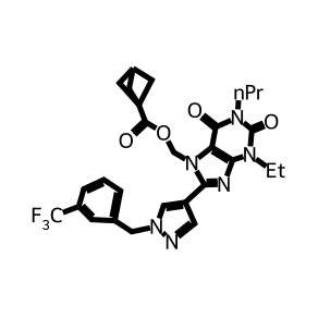 CCCn1c(=O)c2c(nc(-c3cnn(Cc4cccc(C(F)(F)F)c4)c3)n2COC(=O)C23CC(C2)C3)n(CC)c1=O